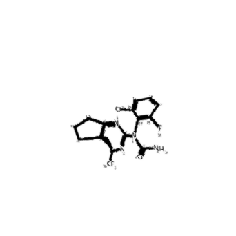 NC(=O)N(c1nc2c(c(C(F)(F)F)n1)CCC2)c1c(F)cccc1Cl